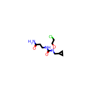 NC(=O)CCNC(=O)N(CC1CC1)OCCCl